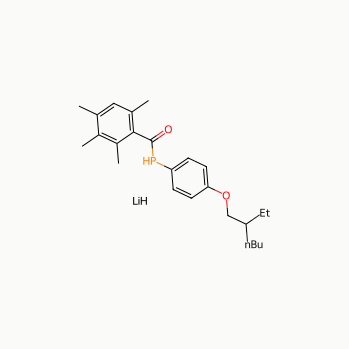 CCCCC(CC)COc1ccc(PC(=O)c2c(C)cc(C)c(C)c2C)cc1.[LiH]